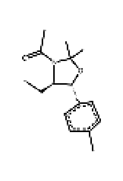 CC(=O)N1[C@H](CF)[C@@H](c2ccc(C)cc2)OC1(C)C